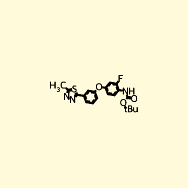 Cc1nnc(-c2cccc(Oc3ccc(NC(=O)OC(C)(C)C)c(F)c3)c2)s1